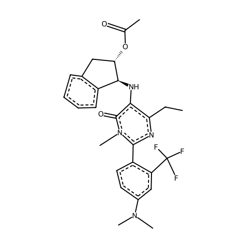 CCc1nc(-c2ccc(N(C)C)cc2C(F)(F)F)n(C)c(=O)c1N[C@H]1c2ccccc2C[C@@H]1OC(C)=O